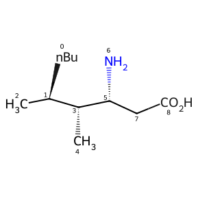 CCCC[C@H](C)[C@@H](C)[C@H](N)CC(=O)O